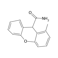 Cc1cccc2c1C(C(N)=O)c1ccccc1O2